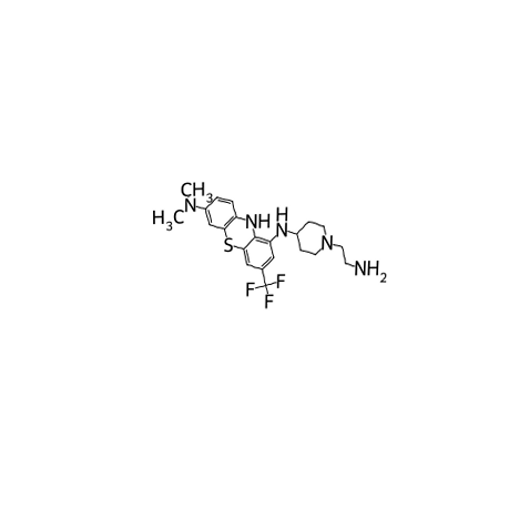 CN(C)c1ccc2c(c1)Sc1cc(C(F)(F)F)cc(NC3CCN(CCN)CC3)c1N2